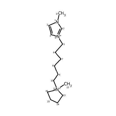 Cn1cc[n+](CCCCCC[N+]2(C)CCCC2)c1